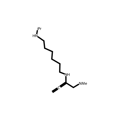 C=C=C(CNC)NCCCCCCNC(C)C